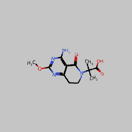 COc1nc(N)c2c(n1)CCN(C(C)(C)C(=O)O)C2=O